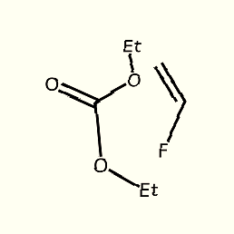 C=CF.CCOC(=O)OCC